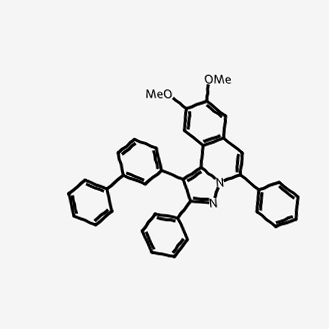 COc1cc2cc(-c3ccccc3)n3nc(-c4ccccc4)c(-c4cccc(-c5ccccc5)c4)c3c2cc1OC